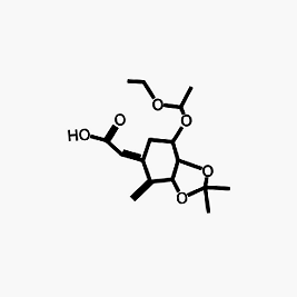 C=C1/C(=C/C(=O)O)CC(OC(C)OCC)C2OC(C)(C)OC12